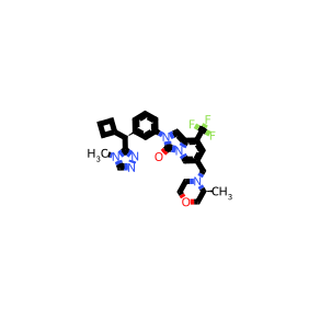 C[C@@H]1COCCN1Cc1cc(C(F)(F)F)c2cn(-c3cccc([C@H](c4nncn4C)C4CCC4)c3)c(=O)n2c1